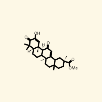 COC(=O)[C@@]1(C)CCC2(C)CC[C@]3(C)C(=CC(=O)[C@H]4C3CC[C@H]3C(C)(C)C(=O)C(O)=C[C@]43C)C2C1